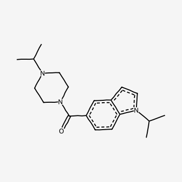 CC(C)N1CCN(C(=O)c2ccc3c(ccn3C(C)C)c2)CC1